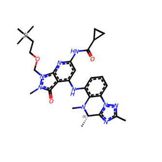 Cc1nc2n(n1)-c1cccc(Nc3cc(NC(=O)C4CC4)nc4c3c(=O)n(C)n4COCC[Si](C)(C)C)c1N(C)[C@H]2C